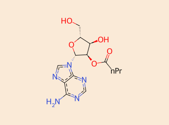 CCCC(=O)O[C@@H]1[C@H](O)[C@@H](CO)O[C@H]1n1cnc2c(N)ncnc21